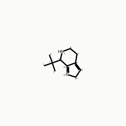 CC(C)(C)C1NCCC2=CCN=C21